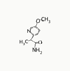 COc1ccc(C(C)C(N)=O)nc1